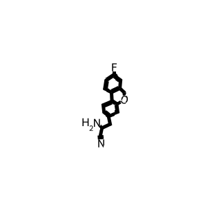 N#CC(N)Cc1ccc2c(c1)OCc1cc(F)ccc1-2